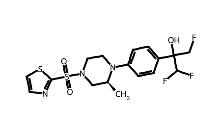 C[C@H]1CN(S(=O)(=O)c2nccs2)CCN1c1ccc(C(O)(CF)C(F)F)cc1